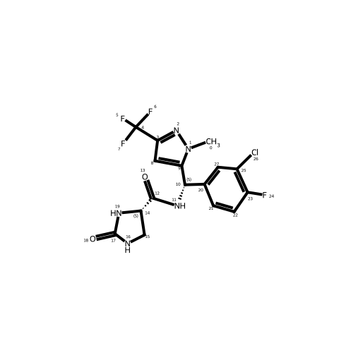 Cn1nc(C(F)(F)F)cc1[C@@H](NC(=O)[C@@H]1CNC(=O)N1)c1ccc(F)c(Cl)c1